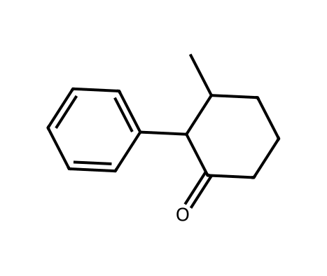 CC1CCCC(=O)C1c1ccccc1